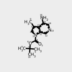 Cc1cn(C(=O)OC(C)(C)C)c2cncc(N)c12